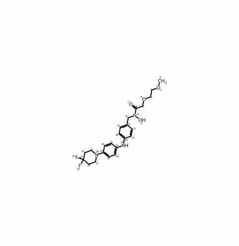 COCCOCC(=O)N(O)Cc1ccc(Nc2ccc(N3CCC(F)(F)CC3)cc2)cc1